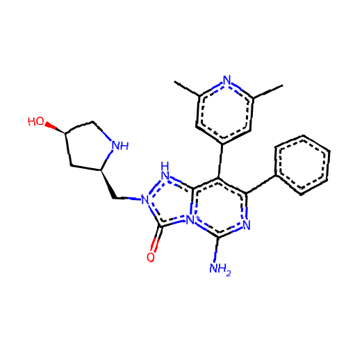 Cc1cc(-c2c(-c3ccccc3)nc(N)[n+]3c(=O)n(C[C@H]4C[C@@H](O)CN4)[nH]c23)cc(C)n1